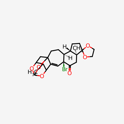 CC1C2CC34CC[C@H]5[C@@H]6CCC7(OCCO7)[C@@]6(C)CC(=O)[C@]5(Br)C=C3C1OC(O2)O4